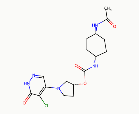 CC(=O)N[C@H]1CC[C@H](NC(=O)O[C@@H]2CCN(c3cn[nH]c(=O)c3Cl)C2)CC1